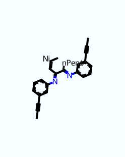 CC#Cc1cccc(/N=C(\C=C/C)C(/CCCCC)=N/c2cccc(C#CC)c2)c1.[Ni]